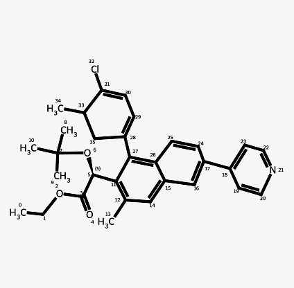 CCOC(=O)[C@@H](OC(C)(C)C)c1c(C)cc2cc(-c3ccncc3)ccc2c1C1=CC=C(Cl)C(C)C1